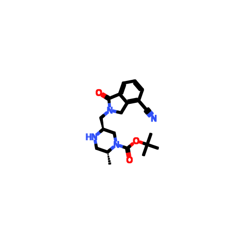 C[C@@H]1CN[C@@H](CN2Cc3c(C#N)cccc3C2=O)CN1C(=O)OC(C)(C)C